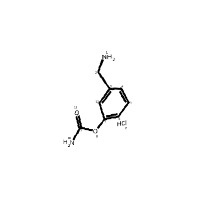 Cl.NCc1cccc(OC(N)=O)c1